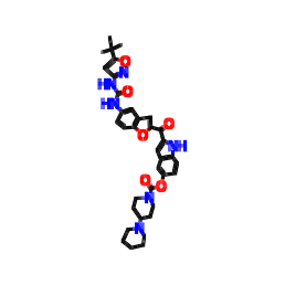 CC(C)(C)c1cc(NC(=O)Nc2ccc3oc(C(=O)c4cc5cc(OC(=O)N6CCC(N7CCCCC7)CC6)ccc5[nH]4)cc3c2)no1